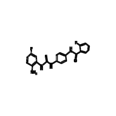 Nc1ccc(F)cc1NC(=S)Nc1ccc(NC(=O)c2ccccc2F)cc1